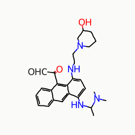 CC(Nc1ccc(NCCN2CCCC(O)C2)c2c(C(=O)C=O)c3ccccc3cc12)N(C)C